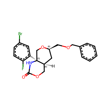 O=C1N[C@@]2(c3cc(Br)ccc3F)CO[C@@H](COCc3ccccc3)C[C@H]2CO1